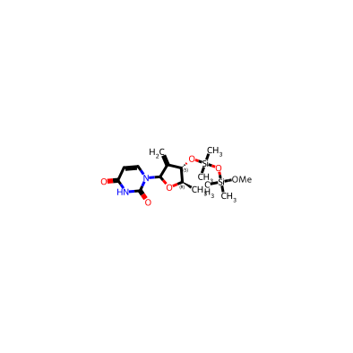 C=C1C(n2ccc(=O)[nH]c2=O)O[C@H](C)[C@H]1O[Si](C)(C)O[Si](C)(C)OC